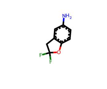 Nc1ccc2c(c1)CC(F)(F)O2